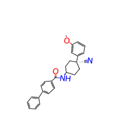 COc1cccc([C@]2(C#N)CC[C@H](NC(=O)c3ccc(-c4ccccc4)cc3)CC2)c1